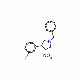 O=[N+]([O-])[C@H]1CN(Cc2ccccc2)C[C@@H]1c1cccc(F)c1